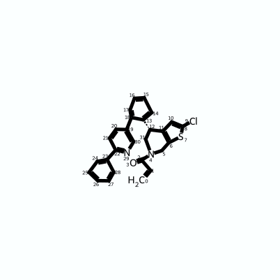 C=CC(=O)N1Cc2sc(Cl)cc2[C@@H](c2ccccc2-c2ccc(-c3ccccc3)nc2)C1